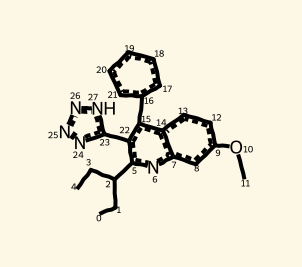 CCC(CC)c1nc2cc(OC)ccc2c(-c2ccccc2)c1-c1nnn[nH]1